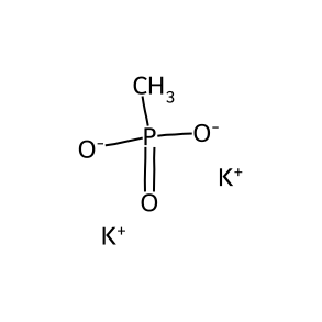 CP(=O)([O-])[O-].[K+].[K+]